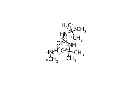 CNCO[SiH](NC(C)(C)C)NC(C)(C)C